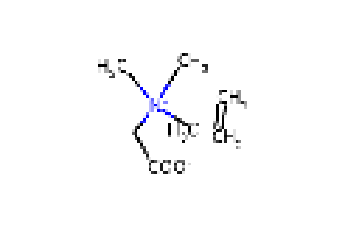 C=C.C[N+](C)(C)CC(=O)[O-]